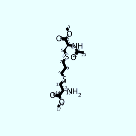 COC(=O)[C@H](CSCCCSC[C@H](N)C(=O)OC)NC(C)=O